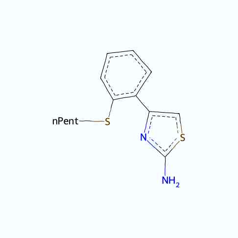 CCCCCSc1ccccc1-c1csc(N)n1